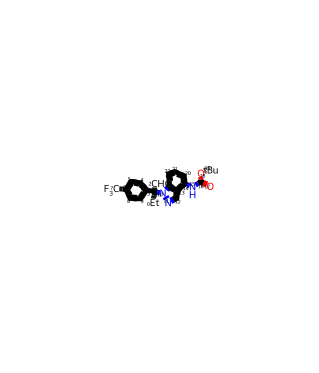 CCC(C=O)(c1ccc(C(F)(F)F)cc1)n1ncc2c(NC(=O)OC(C)(C)C)cccc21